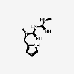 CNC(=N)NC(=N)N(C)Cc1ccc[nH]1